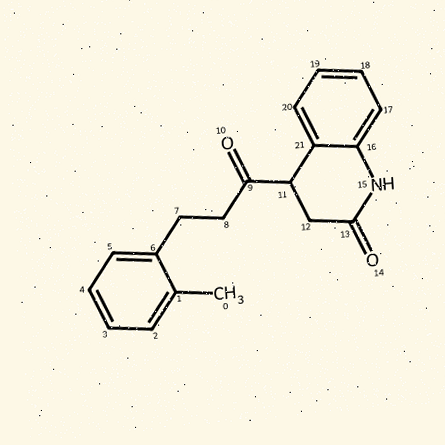 Cc1ccccc1CCC(=O)C1CC(=O)Nc2ccccc21